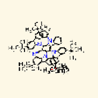 CC(C)(C)c1ccc2c(c1)c1cc(C(C)(C)C)ccc1n2-c1c(C#N)c(-n2c3ccc(C(C)(C)C)cc3c3cc(C(C)(C)C)ccc32)c2c(c1-n1c3ccc(C(C)(C)C)cc3c3cc(C(C)(C)C)ccc31)c1ccccc1n2-c1ccccc1